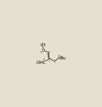 CCCCCC(C=O)=COCC